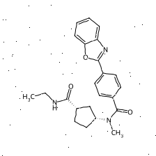 CCNC(=O)[C@H]1CC[C@@H](N(C)C(=O)c2ccc(-c3nc4ccccc4o3)cc2)C1